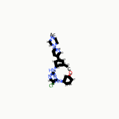 CC(=O)N1CCN(c2ccc(-c3cc4cc(c3)Nc3ncc(Cl)c(n3)Nc3cccc(c3)OCC4)cn2)CC1